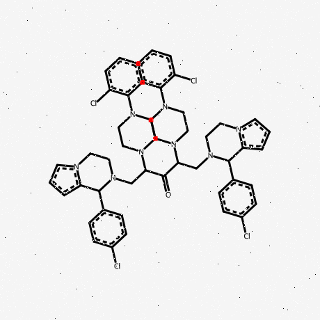 O=C(C(CN1CCn2cccc2C1c1ccc(Cl)cc1)N1CCN(c2ccccc2Cl)CC1)C(CN1CCn2cccc2C1c1ccc(Cl)cc1)N1CCN(c2ccccc2Cl)CC1